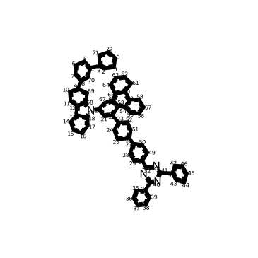 c1ccc(-c2cccc(-c3ccc4c5ccccc5n(-c5cc(-c6ccc(-c7ccc(-c8nc(-c9ccccc9)nc(-c9ccccc9)n8)cc7)cc6)c6c7ccccc7c7ccccc7c6c5)c4c3)c2)cc1